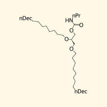 CCCCCCCCCCCCCCCCCCOC[C@H](COC(=O)NCCC)OCCCCCCCCCCCCCCCCCC